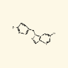 Fc1ccc(Cn2ncc3ncc(Br)cc32)cn1